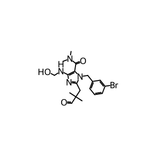 CN(C)C(=O)c1c(NCO)nc(CC(C)(C)C=O)n1Cc1cccc(Br)c1